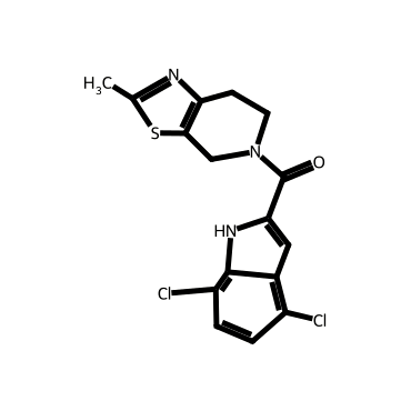 Cc1nc2c(s1)CN(C(=O)c1cc3c(Cl)ccc(Cl)c3[nH]1)CC2